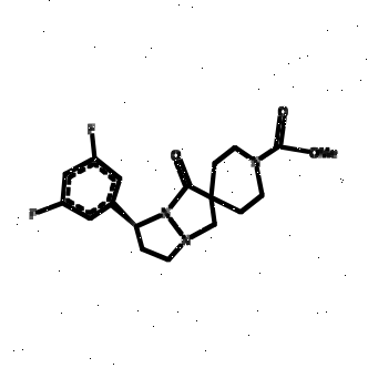 COC(=O)N1CCC2(CC1)CN1CC[C@@H](c3cc(F)cc(F)c3)N1C2=O